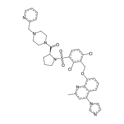 Cc1cc(-n2ccnc2)c2cccc(OCc3c(Cl)ccc(S(=O)(=O)N4CCC[C@H]4C(=O)N4CCN(Cc5ccccn5)CC4)c3Cl)c2n1